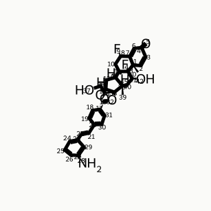 C[C@]12C=CC(=O)C=C1[C@@H](F)C[C@H]1[C@@H]3C[C@H]4O[C@@H](c5ccc(/C=C/c6cccc(N)c6)cc5)O[C@@]4(C(=O)CO)[C@@]3(C)C[C@H](O)[C@@]12F